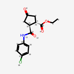 CCOC(=O)[C@H]1CC(=O)C[C@@H]1C(=O)Nc1ccc(Cl)cc1